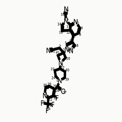 N#CCC1(n2cc(-c3ccnc4c3ccn4C#N)cn2)CN(C2CCN(C(=O)c3ccnc(C(F)(F)F)c3F)CC2)C1